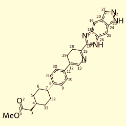 COC(=O)C[C@H]1CC[C@H](c2ccc(C3=CN=C(c4nc5cc6cn[nH]c6cc5[nH]4)CC3)cc2)CC1